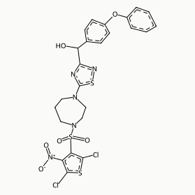 O=[N+]([O-])c1c(Cl)sc(Cl)c1S(=O)(=O)N1CCCN(c2nc(C(O)c3ccc(Oc4ccccc4)cc3)ns2)CC1